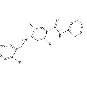 O=C(Nc1ccccc1)n1cc(F)c(NCc2ccccc2F)nc1=O